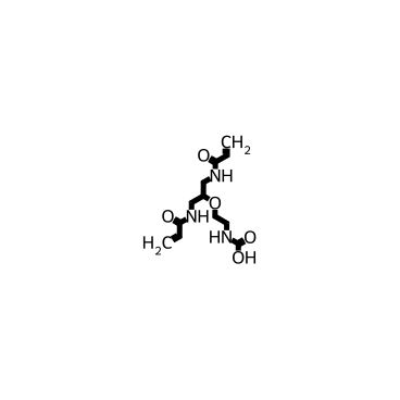 C=CC(=O)NCC(CNC(=O)C=C)OCCNC(=O)O